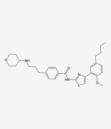 CCCCc1ccc(OC)c(-c2csc(NC(=O)c3ccc(CCCNC4CCOCC4)cc3)n2)c1